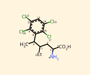 CCC(CC(N)C(=O)O)C(C)c1c(Cl)c(Cl)cc(Cl)c1Cl